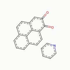 O=c1cc2ccc3cccc4ccc(c1=O)c2c34.c1ccncc1